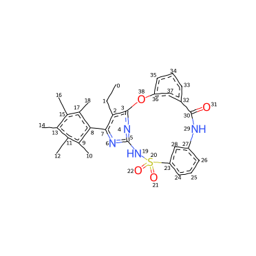 CCc1c2nc(nc1-c1c(C)c(C)c(C)c(C)c1C)NS(=O)(=O)c1cccc(c1)NC(=O)c1cccc(c1)O2